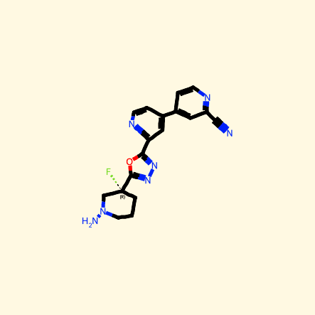 N#Cc1cc(-c2ccnc(-c3nnc([C@@]4(F)CCCN(N)C4)o3)c2)ccn1